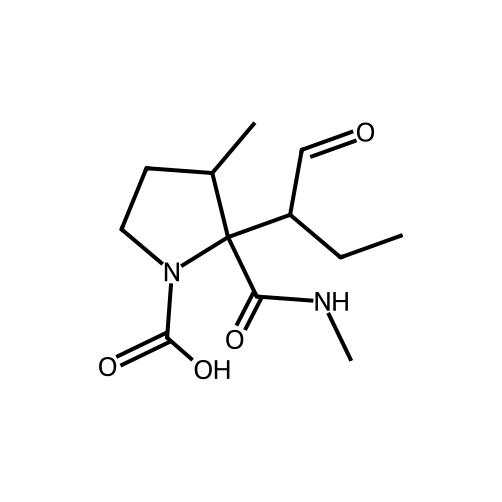 CCC(C=O)C1(C(=O)NC)C(C)CCN1C(=O)O